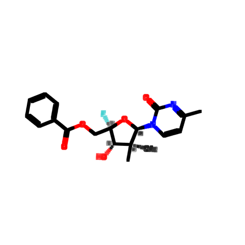 CC(=O)O[C@@]1(C)[C@H](n2ccc(C)nc2=O)O[C@](F)(COC(=O)c2ccccc2)[C@H]1O